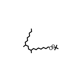 CCCCCCCC(C)CCC(C)CCCCCCCOOC(C)(C)C